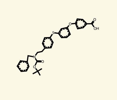 CC(C)(C)OC(=O)N(CCc1ccc(Sc2cccc(Oc3ccc(C(=O)O)cc3)c2)cc1)Cc1ccccc1